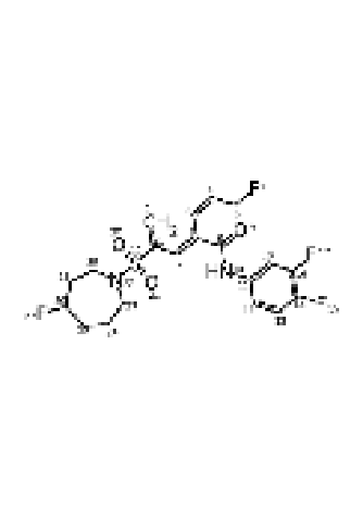 C=C(/C=C(\C=C/CF)C(=O)Nc1ccc(F)c(F)c1)S(=O)(=O)N1CCCC(F)CC1